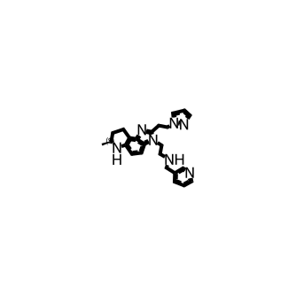 C[C@H]1CCc2c(ccc3c2nc(CCn2cccn2)n3CCNCc2cccnc2)N1